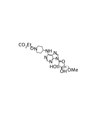 CCOC(=O)ON1CCC(Nc2ncnc3c2ncn3[C@@H]2O[C@H](COC)[C@@H](O)[C@H]2O)CC1